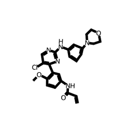 C=CC(=O)Nc1ccc(OC)c(-c2nc(Nc3cccc(N4CCOCC4)c3)ncc2Cl)c1